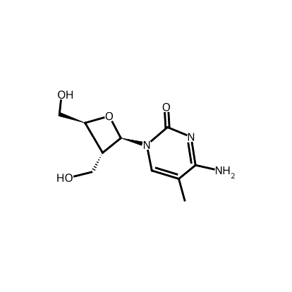 Cc1cn([C@@H]2O[C@H](CO)[C@H]2CO)c(=O)nc1N